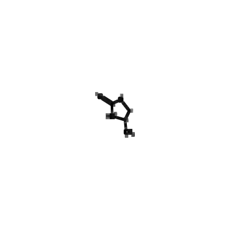 C[C]1COC(=O)N1